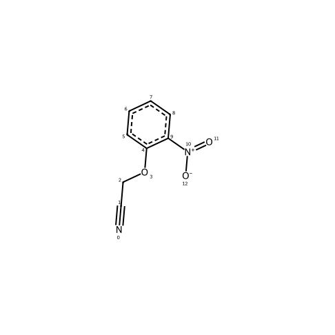 N#CCOc1ccccc1[N+](=O)[O-]